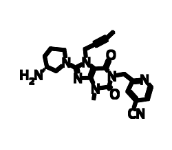 CC#CCn1c(N2CCC[C@@H](N)C2)nc2c1c(=O)n(Cc1cc(C#N)ccn1)c(=O)n2C